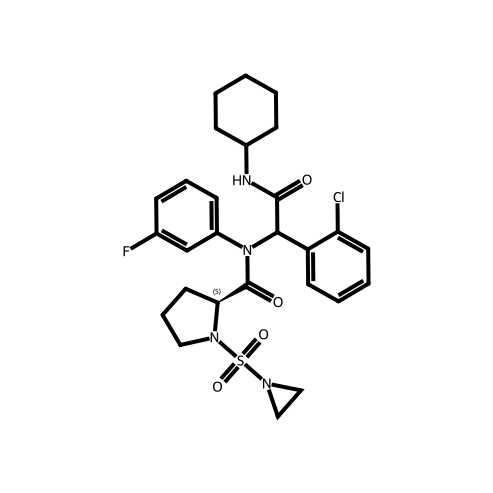 O=C(NC1CCCCC1)C(c1ccccc1Cl)N(C(=O)[C@@H]1CCCN1S(=O)(=O)N1CC1)c1cccc(F)c1